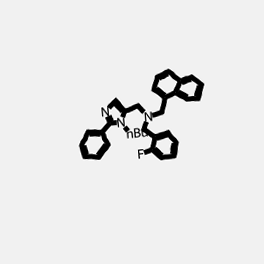 CCCCn1c(CN(Cc2ccccc2F)Cc2cccc3ccccc23)cnc1-c1ccccc1